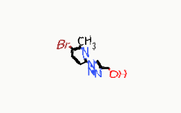 Cc1nc(-n2cc(CO)nn2)ccc1Br